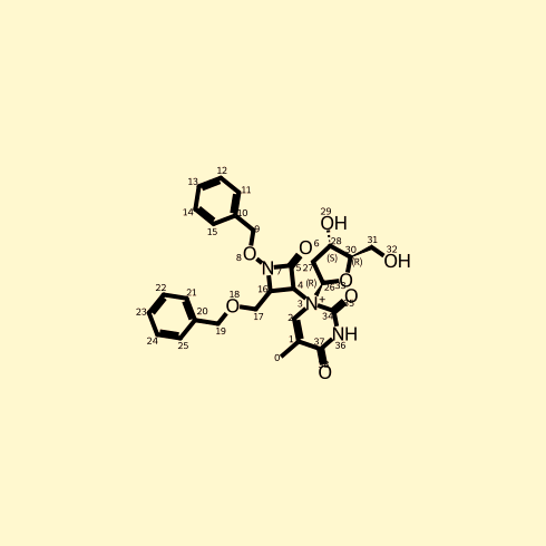 CC1=C[N+](C2C(=O)N(OCc3ccccc3)C2COCc2ccccc2)([C@H]2C[C@H](O)[C@@H](CO)O2)C(=O)NC1=O